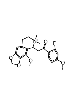 COc1ccc(C(=O)CC2c3c(cc4c(c3OC)OCO4)CC[N+]2(C)C)c(F)c1